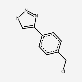 ClCc1ccc(C2=C[N]N=N2)cc1